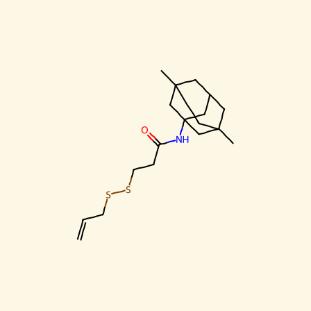 C=CCSSCCC(=O)NC12CC3CC(C)(CC(C)(C3)C1)C2